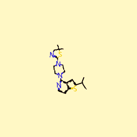 CC(C)c1cc2c(N3CCN(C4=NCC(C)(C)S4)CC3)nccc2s1